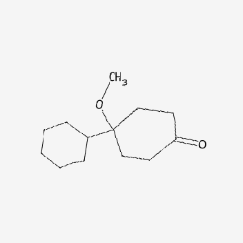 COC1(C2CCCCC2)CCC(=O)CC1